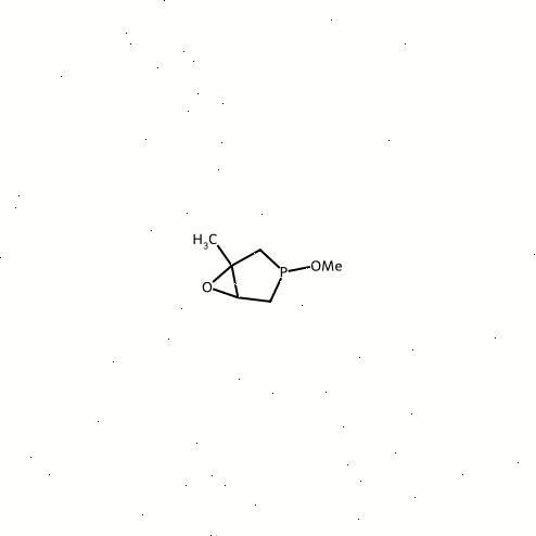 COP1CC2OC2(C)C1